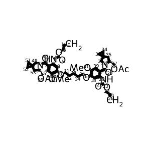 C=CCOC(=O)Nc1cc(OCCCCCOc2cc(NC(=O)OCC=C)c(C(=O)N3CC4(CC4)C[C@H]3COC(C)=O)cc2OC)c(OC)cc1C(=O)N1CC2(CC2)C[C@H]1COC(C)=O